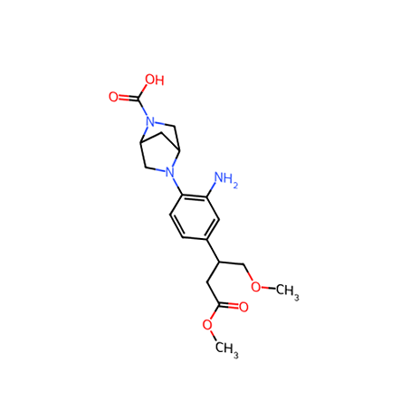 COCC(CC(=O)OC)c1ccc(N2CC3CC2CN3C(=O)O)c(N)c1